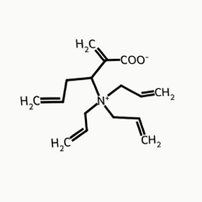 C=CCC(C(=C)C(=O)[O-])[N+](CC=C)(CC=C)CC=C